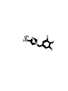 CCCNc1cn(CC2=CC(F)C(F)C(F)=C2)cn1